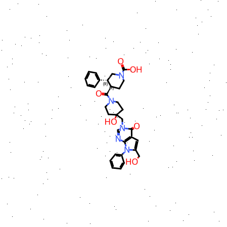 O=C(O)N1CC[C@@H](C(=O)N2CCC(O)(Cn3cnc4c(cc(CO)n4-c4ccccc4)c3=O)CC2)[C@H](c2ccccc2)C1